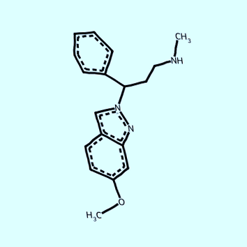 CNCCC(c1ccccc1)n1cc2ccc(OC)cc2n1